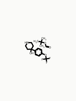 CC(C)(C)OC=O.OC1(c2ccc(OC(F)(F)F)cc2)CCNCC1